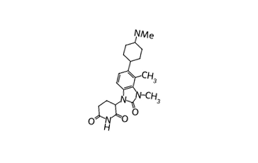 CNC1CCC(c2ccc3c(c2C)n(C)c(=O)n3C2CCC(=O)NC2=O)CC1